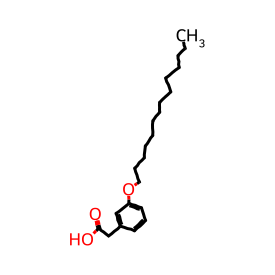 CCCCCCCCCCCCCCOc1cccc(CC(=O)O)c1